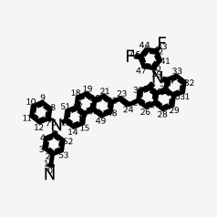 N#Cc1ccc(N(c2ccccc2)c2ccc3c(ccc4cc(/C=C/c5cc6ccc7cccc8c7c6c(c5)n8-c5cc(F)cc(F)c5)ccc43)c2)cc1